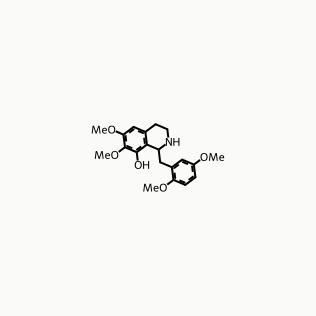 COc1ccc(OC)c(CC2NCCc3cc(OC)c(OC)c(O)c32)c1